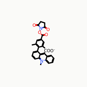 Cc1cc(C(=O)ON2C(=O)CCC2=O)cc(C)c1-c1cccc2c1c(C(=O)[O-])c1ccccc1[n+]2C